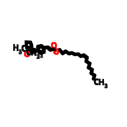 CCCCCCCC/C=C\CCCCCCCCOC(=O)C=Cc1ccc(C=C2C(=O)C3(C)CCC2C3(C)C)cc1